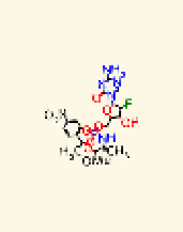 COC(=O)[C@H](C)NP(=O)(OCC1OC(n2cnc(N)nc2=O)C(F)C1O)OC(C)c1ccc([N+](=O)[O-])cc1